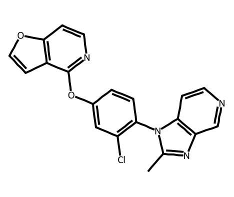 Cc1nc2cnccc2n1-c1ccc(Oc2nccc3occc23)cc1Cl